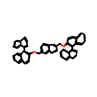 c1ccc2c(-c3c(OCc4ccc5cc(COc6ccc7ccccc7c6-c6cccc7ccccc67)ccc5c4)ccc4ccccc34)cccc2c1